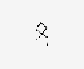 CCC1(F)CCC1